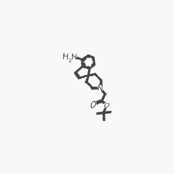 CC(C)(C)OC(=O)CN1CCC2(CCc3c(N)cccc32)CC1